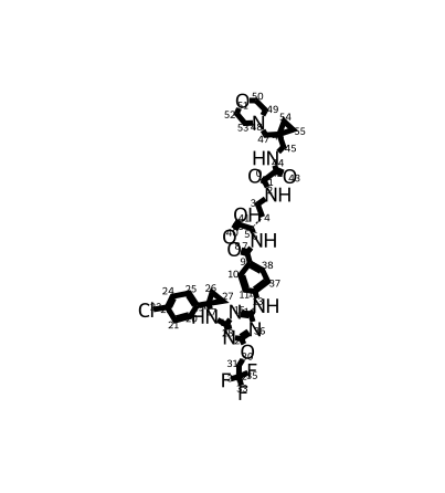 O=C(NCC[C@H](NC(=O)c1ccc(Nc2nc(NC3(c4ccc(Cl)cc4)CC3)nc(OCC(F)(F)F)n2)cc1)C(=O)O)C(=O)NCC1(CN2CCOCC2)CC1